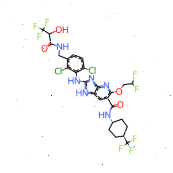 O=C(N[C@H]1CC[C@H](C(F)(F)F)CC1)c1cc2[nH]c(Nc3c(Cl)ccc(CNC(=O)C(O)C(F)(F)F)c3Cl)nc2nc1OCC(F)F